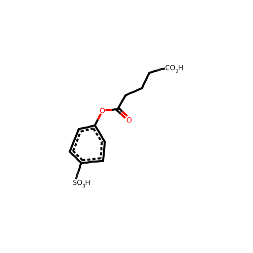 O=C(O)CCCC(=O)Oc1ccc(S(=O)(=O)O)cc1